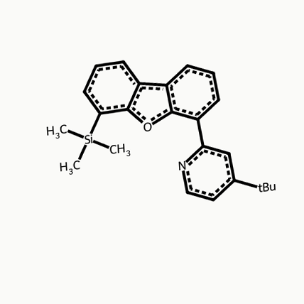 CC(C)(C)c1ccnc(-c2cccc3c2oc2c([Si](C)(C)C)cccc23)c1